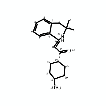 CC1(C)Cc2ccccc2/C(=C/C(=O)[C@H]2CC[C@H](C(C)(C)C)CC2)N1